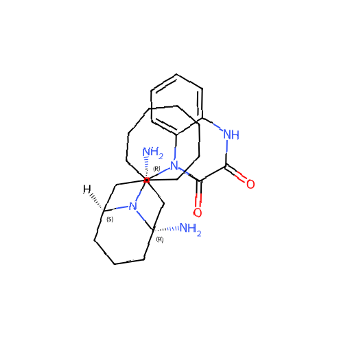 N[C@@]12CCC[C@@H](C[C@@](N)(n3c(=O)c(=O)[nH]c4ccccc43)C1)N2C1CCCCCCC1